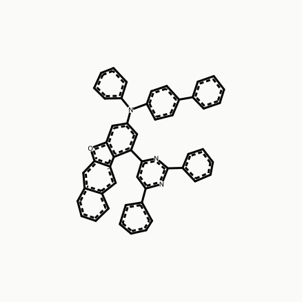 c1ccc(-c2ccc(N(c3ccccc3)c3cc(-c4cc(-c5ccccc5)nc(-c5ccccc5)n4)c4c(c3)oc3cc5ccccc5cc34)cc2)cc1